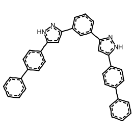 c1ccc(-c2ccc(-c3cc(-c4cccc(-c5cc(-c6ccc(-c7ccccc7)cc6)[nH]n5)c4)n[nH]3)cc2)cc1